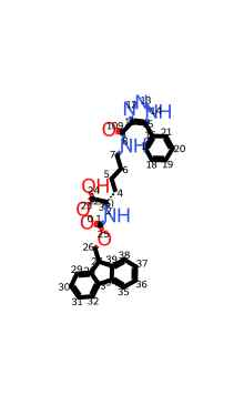 O=C(N[C@@H](CCCCNC(=O)c1nn[nH]c1-c1ccccc1)C(=O)O)OCC1c2ccccc2-c2ccccc21